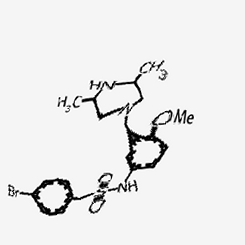 COc1ccc(NS(=O)(=O)c2ccc(Br)cc2)cc1N1CC(C)NC(C)C1